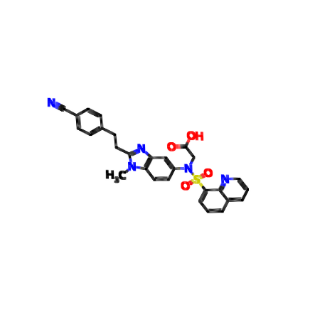 Cn1c(CCc2ccc(C#N)cc2)nc2cc(N(CC(=O)O)S(=O)(=O)c3cccc4cccnc34)ccc21